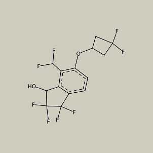 OC1c2c(ccc(OC3CC(F)(F)C3)c2C(F)F)C(F)(F)C1(F)F